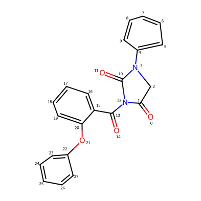 O=C1CN(c2ccccc2)C(=O)N1C(=O)c1ccccc1Oc1ccccc1